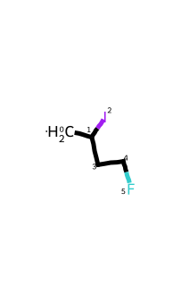 [CH2]C(I)CCF